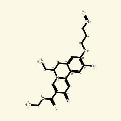 CCOC(=O)c1cn2c(cc1=O)-c1cc(O)c(OCCCN=O)cc1CC2CC